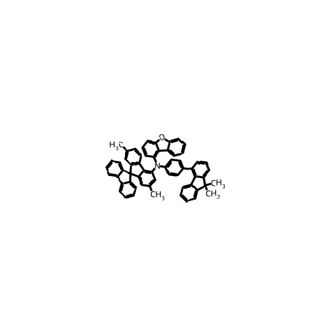 Cc1ccc2c(c1)C1(c3ccccc3-c3ccccc31)c1cc(C)cc(N(c3ccc(-c4cccc5c4-c4ccccc4C5(C)C)cc3)c3cccc4oc5ccccc5c34)c1-2